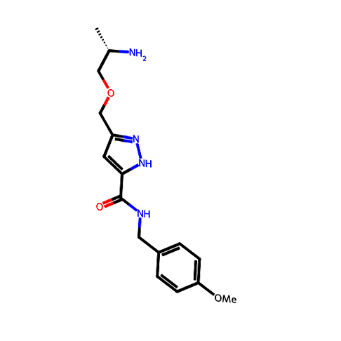 COc1ccc(CNC(=O)c2cc(COC[C@H](C)N)n[nH]2)cc1